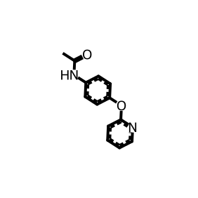 CC(=O)Nc1ccc(Oc2ccccn2)cc1